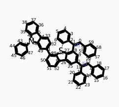 C(=C(\c1ccccc1)c1cc(/C(=C/c2ccccc2)c2ccccc2)cc2c1sc1c(-c3ccc4c5ccccc5n(-c5ccccc5)c4c3)cccc12)/c1ccccc1